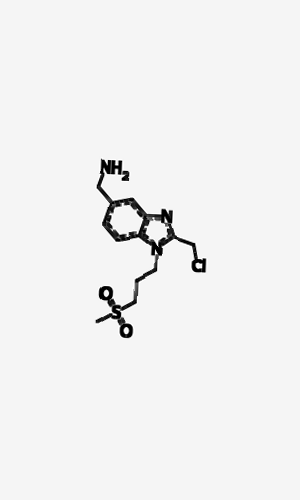 CS(=O)(=O)CCCn1c(CCl)nc2cc(CN)ccc21